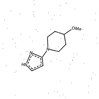 COC1CCN(c2cc[nH]n2)CC1